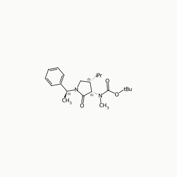 CC(C)[C@H]1CN([C@@H](C)c2ccccc2)C(=O)[C@H]1N(C)C(=O)OC(C)(C)C